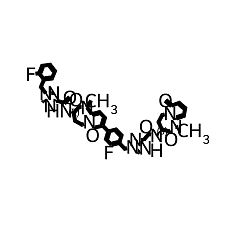 CN1C(=O)[C@@H](NC(=O)c2ncn(Cc3ccc(-c4ccc5n(c4=O)CC[C@@H](NC(=O)c4ncn(Cc6ccccc6F)n4)C(=O)N5C)cc3F)n2)CCn2c1cccc2=O